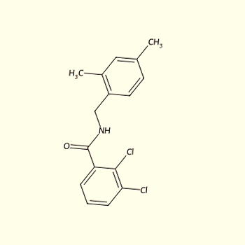 Cc1ccc(CNC(=O)c2cccc(Cl)c2Cl)c(C)c1